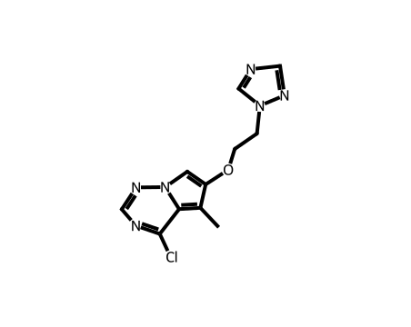 Cc1c(OCCn2cncn2)cn2ncnc(Cl)c12